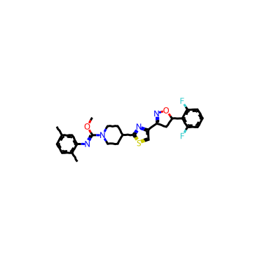 COC(=Nc1cc(C)ccc1C)N1CCC(c2nc(C3=NOC(c4c(F)cccc4F)C3)cs2)CC1